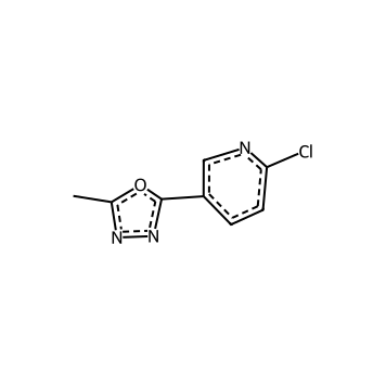 Cc1nnc(-c2ccc(Cl)nc2)o1